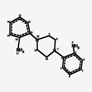 Nc1ccccc1N1CCN(c2ccccc2N)CC1